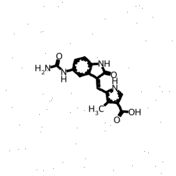 Cc1c(C(=O)O)c[nH]c1/C=C1\C(=O)Nc2ccc(NC(N)=O)cc21